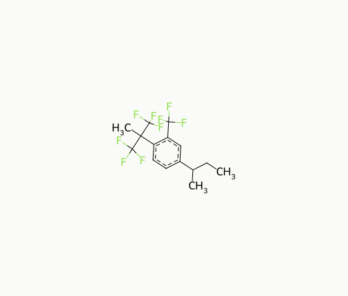 CCC(C)c1ccc(C(C)(C(F)(F)F)C(F)(F)F)c(C(F)(F)F)c1